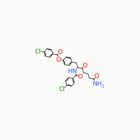 NC(=O)CCCC(=O)C(Cc1ccc(OC(=O)c2ccc(Cl)cc2)cc1)NC(=O)c1ccc(Cl)cc1